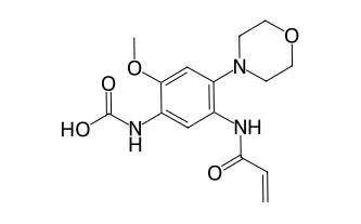 C=CC(=O)Nc1cc(NC(=O)O)c(OC)cc1N1CCOCC1